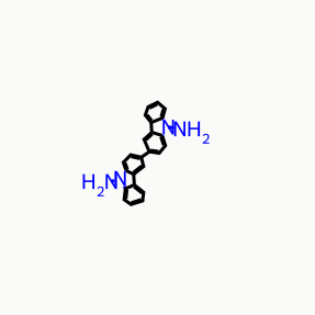 Nn1c2ccccc2c2cc(-c3ccc4c(c3)c3ccccc3n4N)ccc21